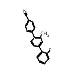 Cc1cc(-c2ccccc2F)ccc1-c1ccc(C#N)cc1